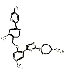 Cc1cc(-c2ccc(C#N)cn2)ccc1COc1ccc(C(F)(F)F)cc1-c1csc(N2CCC(C(=O)O)CC2)n1